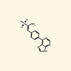 CS(=O)(=O)/C(N)=C/c1ccc(-c2ncnc3[nH]cnc23)cc1